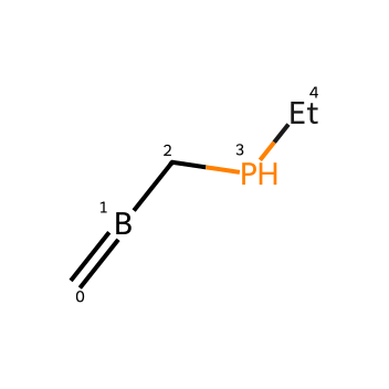 C=BCPCC